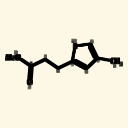 COC(=O)CCc1cc(C)cs1